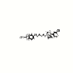 CCCc1nc2ccc(OCCCCCN3CCN(c4ccnc(Cl)c4)S3(=O)=O)cc2o1